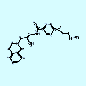 CCNCCOc1ccc(C(=O)NCC(O)CN2CCc3ccccc3C2)cc1